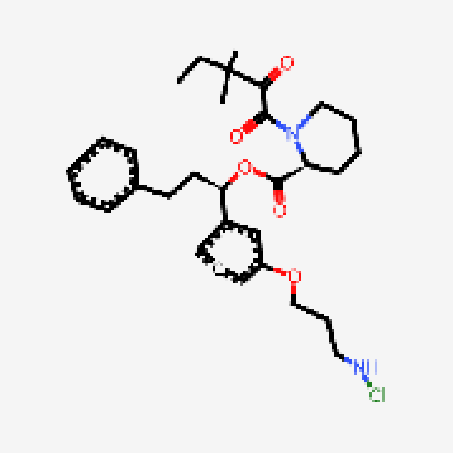 CCC(C)(C)C(=O)C(=O)N1CCCC[C@H]1C(=O)O[C@H](CCc1ccccc1)c1cccc(OCCCNCl)c1